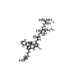 CCCNC(=O)C(CCCNC(=N)N)NC(=O)CNC(=O)CCC1=[N+]2C(=Cc3c(CCSOOO)cc(-c4ccccc4)n3[B-]2(F)F)C(C)=C1